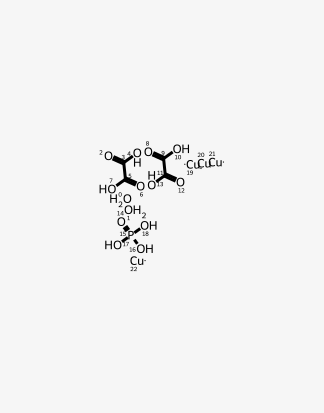 O.O.O=C(O)C(=O)O.O=C(O)C(=O)O.O=P(O)(O)O.[Cu].[Cu].[Cu].[Cu]